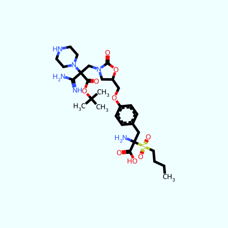 CCCCS(=O)(=O)C(N)(Cc1ccc(OCC2CN(CC(C(=N)N)(C(=O)OC(C)(C)C)N3CCNCC3)C(=O)O2)cc1)C(=O)O